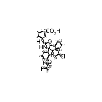 O=C(Nc1cccc(C(=O)O)c1)NC(Cc1ccccc1)(c1cccc(OC(F)(F)C(F)F)c1)c1ccc(Cl)cn1